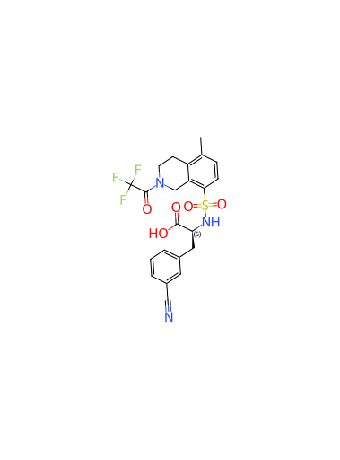 Cc1ccc(S(=O)(=O)N[C@@H](Cc2cccc(C#N)c2)C(=O)O)c2c1CCN(C(=O)C(F)(F)F)C2